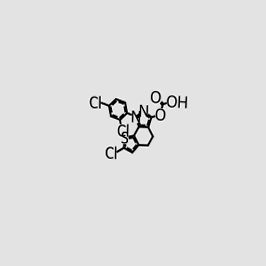 O=C(O)Oc1nn(-c2ccc(Cl)cc2Cl)c2c1CCc1cc(Cl)sc1-2